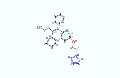 ClCC/C(=C(\c1ccccc1)c1ccc(OCCn2ccnc2)cc1)c1ccccc1